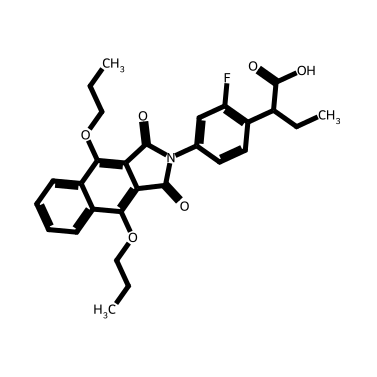 CCCOc1c2c(c(OCCC)c3ccccc13)C(=O)N(c1ccc(C(CC)C(=O)O)c(F)c1)C2=O